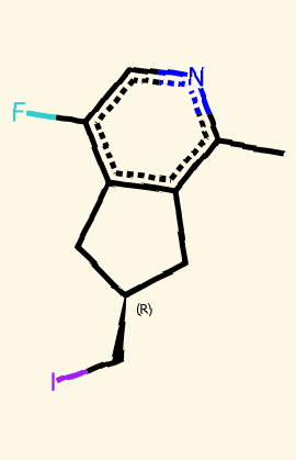 Cc1ncc(F)c2c1C[C@@H](CI)C2